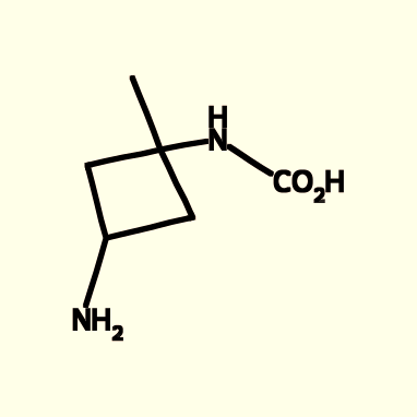 CC1(NC(=O)O)CC(N)C1